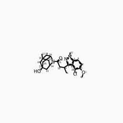 COc1ccc2c(c(C(C)CC(=O)N3C4CC5(C)CC3CC(O)(C4)C5)nn2C)c1Cl